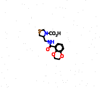 O=C(NCC1CSCN1C(=O)O)c1cccc2c1OCCO2